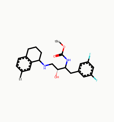 CCc1ccc2c(c1)C(NC[C@@H](O)C(Cc1cc(F)cc(F)c1)NC(=O)OC(C)(C)C)CCC2